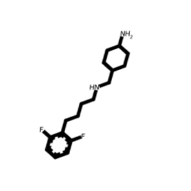 NC1CCC(CNCCCCc2c(F)cccc2F)CC1